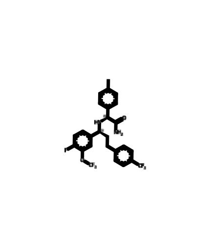 Cc1ccc([C@H](N[C@@H](CCc2ccc(C(F)(F)F)cc2)c2ccc(F)c(OC(F)(F)F)c2)C(N)=O)cc1